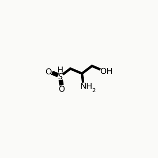 NC(CO)C[SH](=O)=O